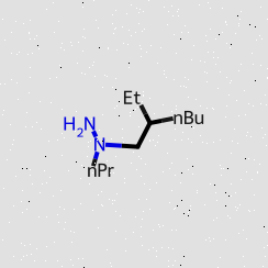 CCCCC(CC)CN(N)CCC